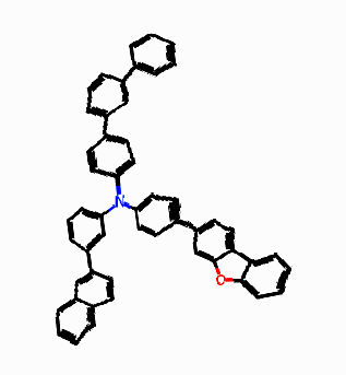 c1ccc(-c2cccc(-c3ccc(N(c4ccc(-c5ccc6c(c5)oc5ccccc56)cc4)c4cccc(-c5ccc6ccccc6c5)c4)cc3)c2)cc1